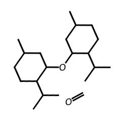 C=O.CC1CCC(C(C)C)C(OC2CC(C)CCC2C(C)C)C1